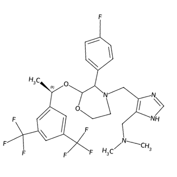 C[C@@H](OC1OCCN(Cc2nc[nH]c2CN(C)C)C1c1ccc(F)cc1)c1cc(C(F)(F)F)cc(C(F)(F)F)c1